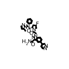 Cc1ccnn1N(C(=O)[C@@H]1C[C@@H](F)CN1C(=O)Cn1nc(C(N)=O)c2cc(-c3ccnnc3)ccc21)c1ccccc1